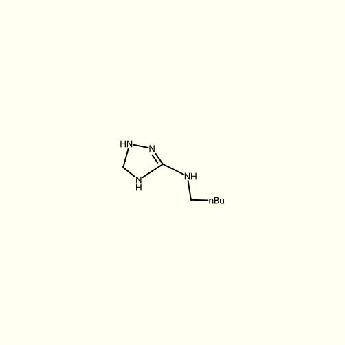 CCCCCNC1=NNCN1